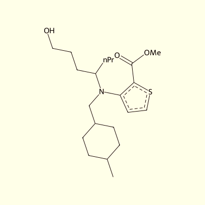 CCCC(CCCO)N(CC1CCC(C)CC1)c1ccsc1C(=O)OC